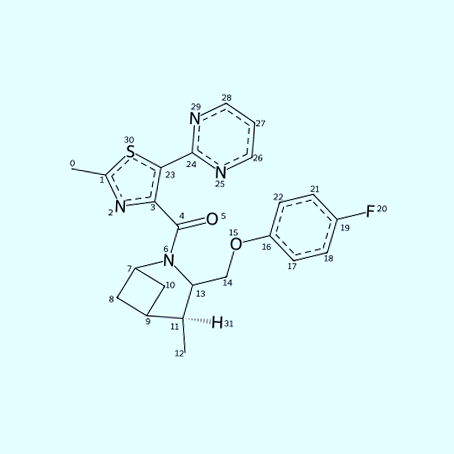 Cc1nc(C(=O)N2C3CC(C3)[C@H](C)C2COc2ccc(F)cc2)c(-c2ncccn2)s1